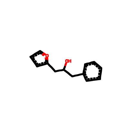 OC(Cc1ccccc1)Cc1ccco1